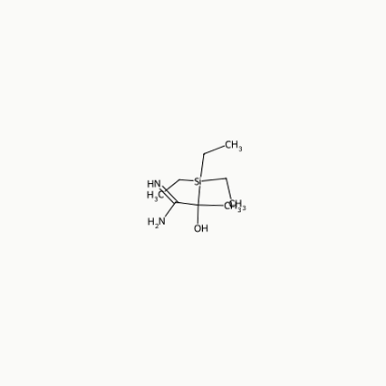 CC[Si](CC)(CC)C(C)(O)C(=N)N